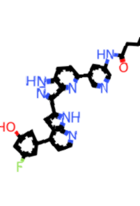 CCCC(=O)Nc1cncc(-c2ccc3[nH]nc(-c4cc5c(-c6cc(O)cc(F)c6)ccnc5[nH]4)c3n2)c1